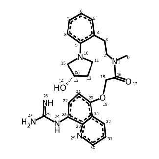 CN(CCc1ccccc1N1CC[C@H](O)C1)C(=O)COc1ccc(NC(=N)N)c2ncccc12